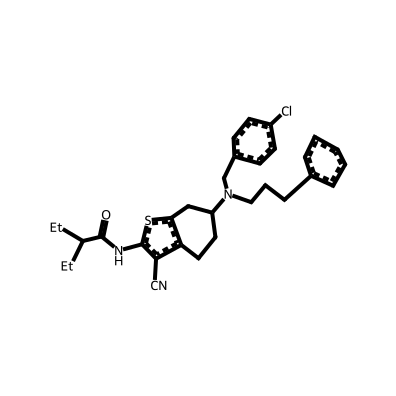 CCC(CC)C(=O)Nc1sc2c(c1C#N)CCC(N(CCCc1ccccc1)Cc1ccc(Cl)cc1)C2